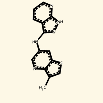 Cc1csc2cc(Nc3n[nH]c4ncccc34)cnc12